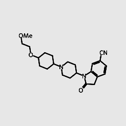 COCCOC1CCC(N2CCC(N3C(=O)Cc4ccc(C#N)cc43)CC2)CC1